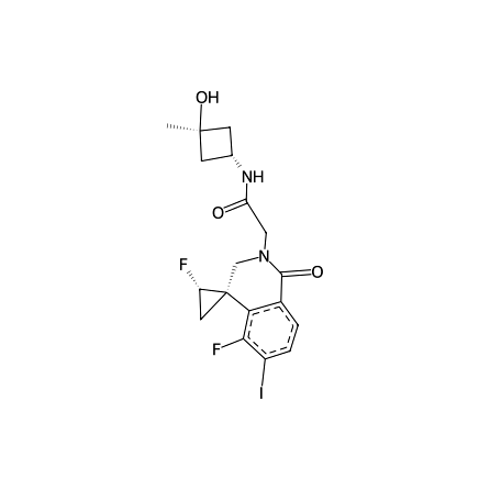 C[C@]1(O)C[C@H](NC(=O)CN2C[C@@]3(C[C@@H]3F)c3c(ccc(I)c3F)C2=O)C1